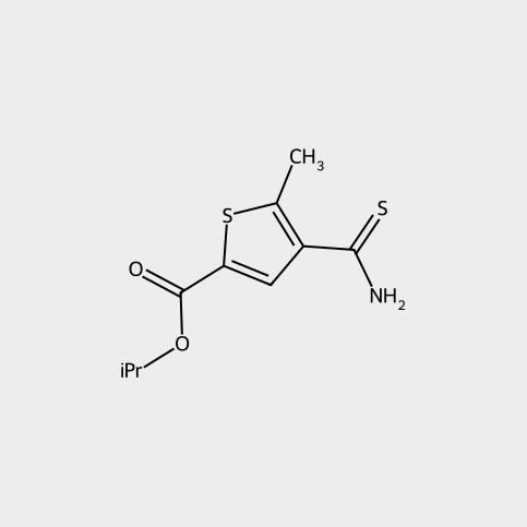 Cc1sc(C(=O)OC(C)C)cc1C(N)=S